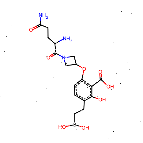 NC(=O)CCC(N)C(=O)N1CC(Oc2ccc(CCB(O)O)c(O)c2C(=O)O)C1